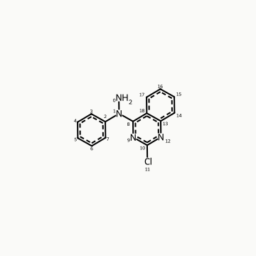 NN(c1ccccc1)c1nc(Cl)nc2ccccc12